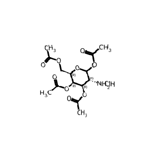 CC(=O)OC[C@H]1OC(OC(C)=O)[C@H](N)[C@@H](OC(C)=O)[C@H]1OC(C)=O.Cl